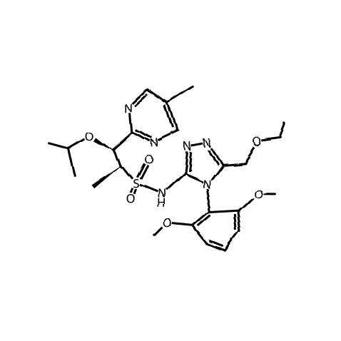 CCOCc1nnc(NS(=O)(=O)[C@@H](C)[C@@H](OC(C)C)c2ncc(C)cn2)n1-c1c(OC)cccc1OC